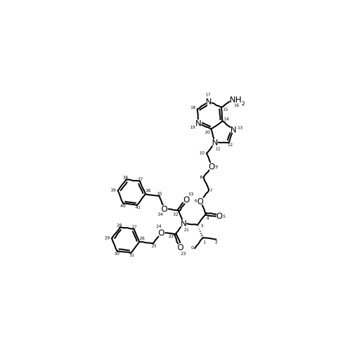 CC(C)[C@@H](C(=O)OCCOCn1cnc2c(N)ncnc21)N(C(=O)OCc1ccccc1)C(=O)OCc1ccccc1